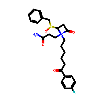 NC(=O)CC[N+]1(CCCCCC(=O)c2ccc(F)cc2)C(=O)CC1[S+]([O-])Cc1ccccc1